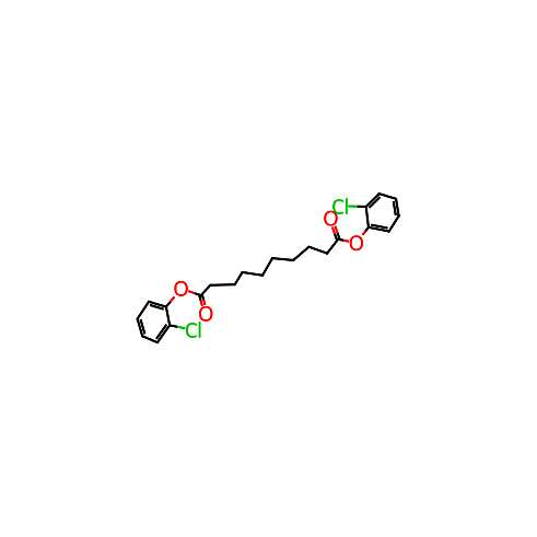 O=C(CCCCCCCCC(=O)Oc1ccccc1Cl)Oc1ccccc1Cl